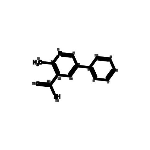 Cc1ncc(-c2ccccc2)cc1C(=O)S